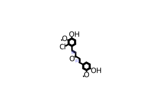 COc1cc(/C=C/C(=O)/C=C/c2ccc(O)c(OC)c2Cl)ccc1O